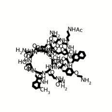 CC(=O)NCCCC[C@H](NC(=O)[C@](C)(CCCCN)NC(=O)[C@H](Cc1ccc2ccccc2c1)NC(=O)[C@H](Cc1ccc(OCCN)cc1)NC(=O)[C@H]1NC(=O)[C@H](CCCNC(N)=O)NC(=O)[C@H](Cc2c[nH]c3c(C)cccc23)NC(=O)[C@H]([C@@H](C)O)NC(=O)[C@H](CC(N)=O)NC(=O)[C@@H](NC(C)=O)C(C)(C)SSC1(C)C)C(=O)N[C@@H](CC(N)=O)C(=O)N[C@@H](CCCNC(N)=O)C(N)=O